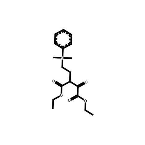 CCOC(=O)C(=O)C(CC[Si](C)(C)c1ccccc1)C(=O)OCC